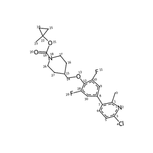 Cc1nc(Cl)ccc1-c1cc(F)c(OCC2CCN(C(=O)OC3(C)CC3)CC2)c(F)c1